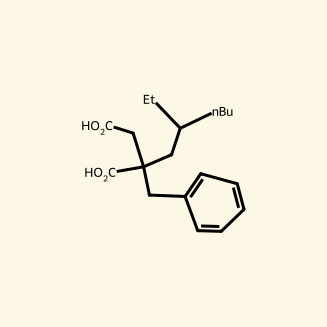 CCCCC(CC)CC(CC(=O)O)(Cc1ccccc1)C(=O)O